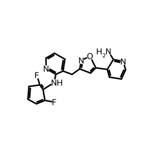 Nc1ncccc1-c1cc(Cc2cccnc2Nc2c(F)cccc2F)no1